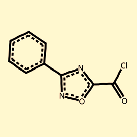 O=C(Cl)c1nc(-c2ccccc2)no1